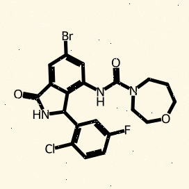 O=C1NC(c2cc(F)ccc2Cl)c2c(NC(=O)N3CCCOCC3)cc(Br)cc21